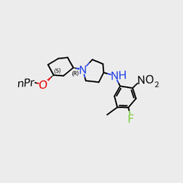 CCCO[C@H]1CCC[C@@H](N2CCC(Nc3cc(C)c(F)cc3[N+](=O)[O-])CC2)C1